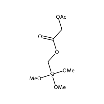 CO[Si](COC(=O)COC(C)=O)(OC)OC